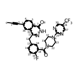 CC#Cc1ccc2c(=O)[nH]nc(Cc3ccc(F)c(C(=O)N4CCN(c5ncc(C(F)(F)F)cn5)CC4)c3)c2c1